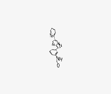 O=CNc1cccc(-c2cnn3cc(-c4ccccn4)cnc23)c1